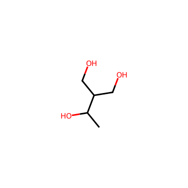 CC(O)C(CO)CO